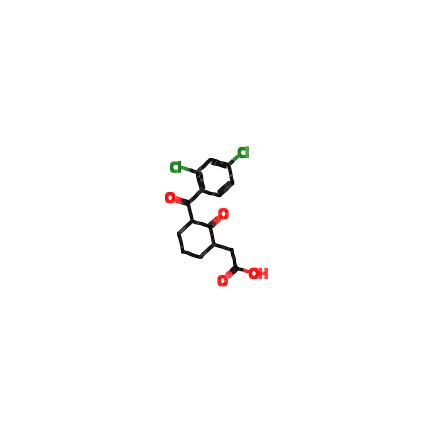 O=C(O)CC1CCCC(C(=O)c2ccc(Cl)cc2Cl)C1=O